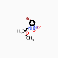 CCOC(C)CNc1cc(Br)ccc1[N+](=O)[O-]